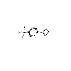 FC(F)(F)c1ccc(C2CCC2)nc1